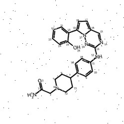 NC(=O)CN1CCC(c2ccc(Nc3ncc4ccc(-c5ccccc5O)n4n3)cc2)CC1